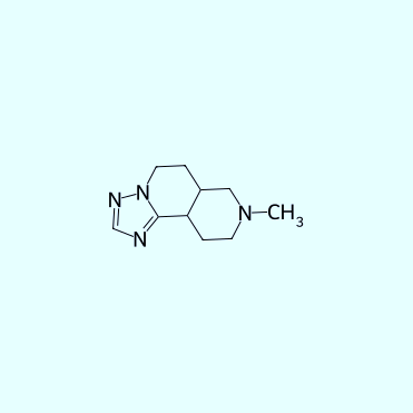 CN1CCC2c3ncnn3CCC2C1